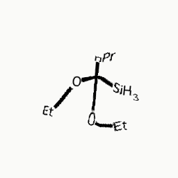 CCCC([SiH3])(OCC)OCC